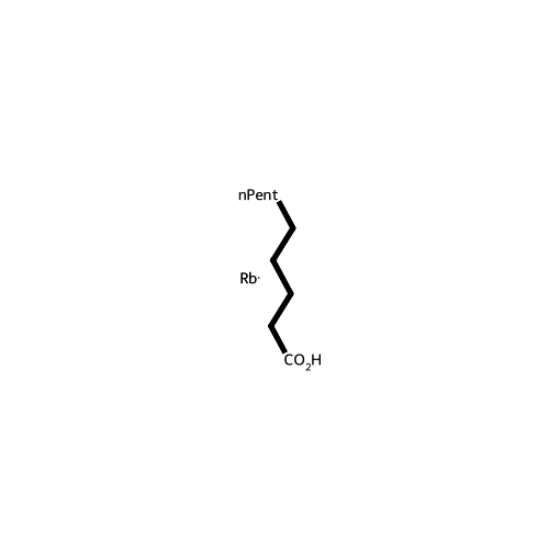 CCCCCCCCCC(=O)O.[Rb]